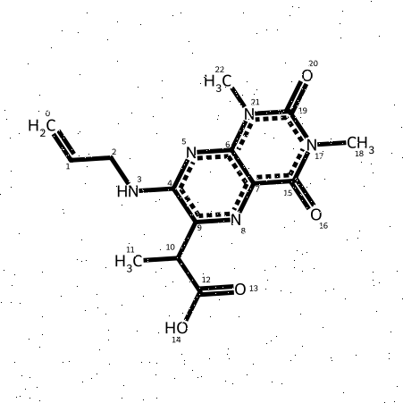 C=CCNc1nc2c(nc1C(C)C(=O)O)c(=O)n(C)c(=O)n2C